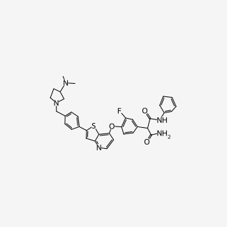 CN(C)C1CCN(Cc2ccc(-c3cc4nccc(Oc5ccc(C(C(N)=O)C(=O)Nc6ccccc6)cc5F)c4s3)cc2)C1